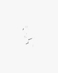 C=CCNC(=O)C(=O)CCCC